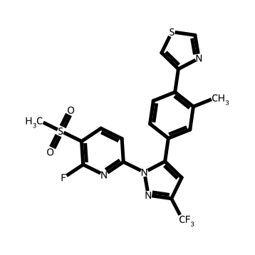 Cc1cc(-c2cc(C(F)(F)F)nn2-c2ccc(S(C)(=O)=O)c(F)n2)ccc1-c1cscn1